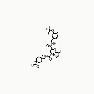 COC(=O)C1(C)CCC(C)(CNC(=O)c2cc(C(=O)NCc3ccc(F)c(OC(F)(F)F)c3)nc3c(F)cnn23)CC1